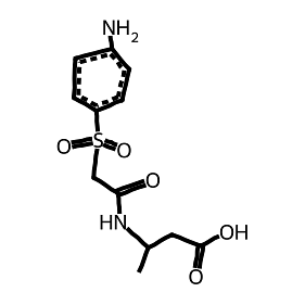 CC(CC(=O)O)NC(=O)CS(=O)(=O)c1ccc(N)cc1